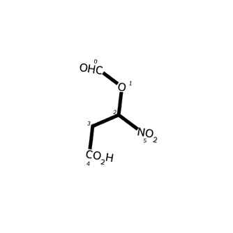 O=COC(CC(=O)O)[N+](=O)[O-]